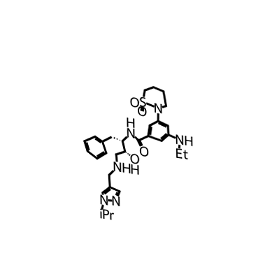 CCNc1cc(C(=O)N[C@@H](Cc2ccccc2)[C@H](O)CNCc2cnn(C(C)C)c2)cc(N2CCCCS2(=O)=O)c1